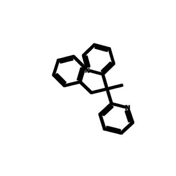 CC(Cc1ccccc1)(c1ccccn1)c1ccccn1